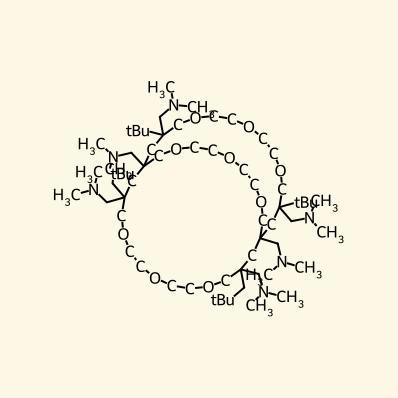 CN(C)CC1(CC(C)(C)C)COCCOCCOCC(CN(C)C)(CC(C)(C)C)CC2(CN(C)C)COCCOCCOCC(CN(C)C)(C1)CC(CN(C)C)(C(C)(C)C)COCCOCCOCC(CN(C)C)(C(C)(C)C)C2